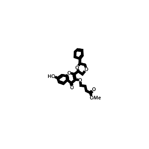 COC(=O)CCCOc1c(C2COCC(C3=CC=CCC3)O2)oc2cc(O)ccc2c1=O